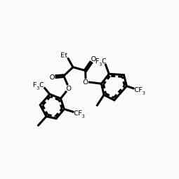 CCC(C(=O)Oc1c(C)cc(C(F)(F)F)cc1C(F)(F)F)C(=O)Oc1c(C(F)(F)F)cc(C)cc1C(F)(F)F